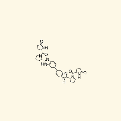 O=C1CCC(C(=O)N2CCC[C@H]2c2nc3cc(-c4ccc5nc([C@@H]6CCCN6C(=O)[C@@H]6CCC(=O)N6)[nH]c5c4)ccc3[nH]2)N1